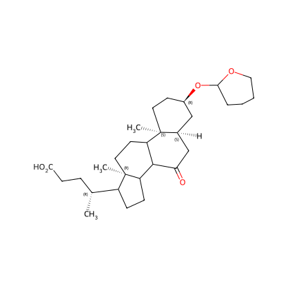 C[C@H](CCC(=O)O)C1CCC2C3C(=O)C[C@@H]4C[C@H](OC5CCCCO5)CC[C@]4(C)C3CC[C@@]21C